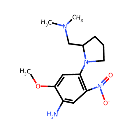 COc1cc(N2CCCC2CN(C)C)c([N+](=O)[O-])cc1N